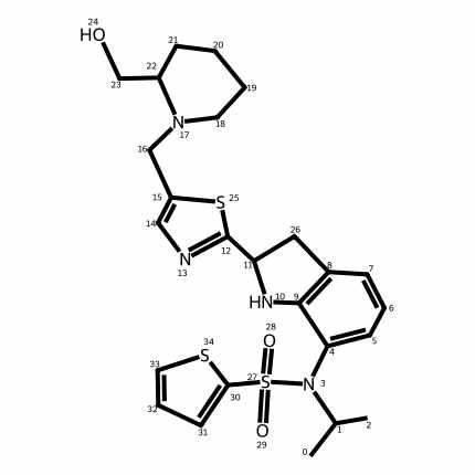 CC(C)N(c1cccc2c1NC(c1ncc(CN3CCCCC3CO)s1)C2)S(=O)(=O)c1cccs1